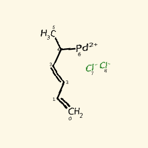 C=CC=C[CH](C)[Pd+2].[Cl-].[Cl-]